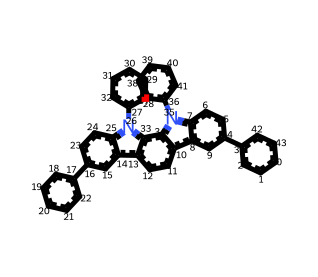 c1ccc(-c2ccc3c(c2)c2ccc4c5cc(-c6ccccc6)ccc5n(-c5ccccc5)c4c2n3-c2ccccc2)cc1